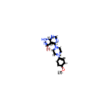 CCOc1ccc(N2CCN(c3ncnc4[nH]nc(Br)c34)CC2)cc1